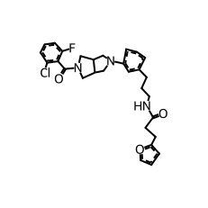 O=C(CCc1ccco1)NCCCc1cccc(N2CC3CN(C(=O)c4c(F)cccc4Cl)CC3C2)c1